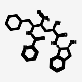 CC(C)[C@H](C[C@H]([PH2]=O)[C@H](CC1CCCCC1)NC(=O)c1ccccn1)C(=O)N[C@H]1c2ccccc2C[C@H]1O